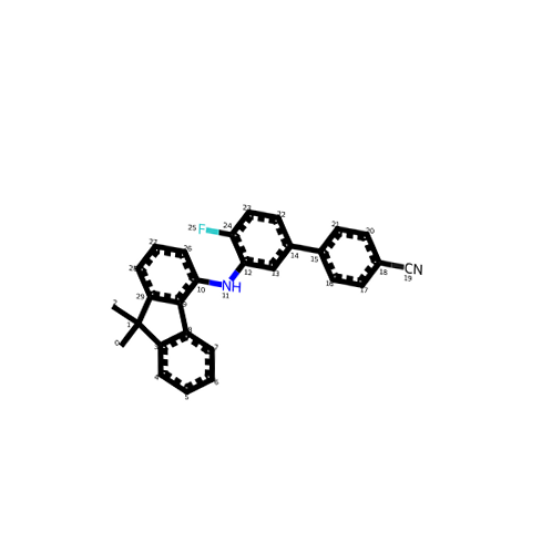 CC1(C)c2ccccc2-c2c(Nc3cc(-c4ccc(C#N)cc4)ccc3F)cccc21